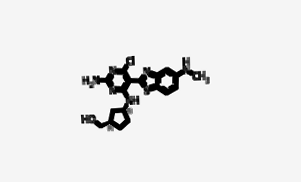 CNc1ccc2sc(-c3c(Cl)nc(N)nc3N[C@H]3CC[C@@H](CO)C3)nc2c1